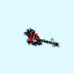 CC(C)[C@H](NC(=O)[C@@H]1CCCN1C(=O)[C@H](CC(=O)OC(C)(C)C)NC(=O)CCOCCOCCOCCNC(=O)OC(C)(C)C)C(=O)N=S(C)(=O)Cc1cc2cc(c1)OCCCCOc1cc(F)ccc1-c1nc(ncc1F)N2